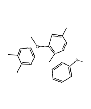 COc1cc(C)ccc1C.COc1ccccc1.Cc1ccccc1C